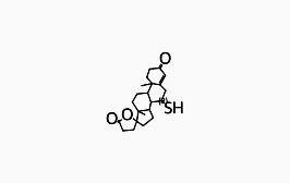 CC12CCC(=O)C=C1C[C@@H](S)C1C2CCC2(C)C1CCC21CCC(=O)O1